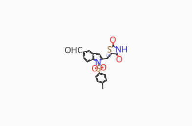 Cc1ccc(S(=O)(=O)n2c(/C=C3\SC(=O)NC3=O)cc3cc(C=O)ccc32)cc1